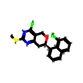 CSc1nc(Cl)c2c(n1)C[C@@H](c1cccc3cccc(Cl)c13)OC2